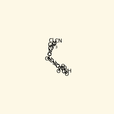 C[C@H]1CCN(c2ccc(C(=O)N3CCC(N4Cc5cc6c(cc5C4)C(=O)N(C4CCC(=O)NC4=O)C6=O)CC3)cc2)CCN1c1ccc(C#N)c(Cl)c1